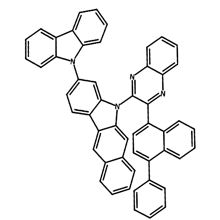 c1ccc(-c2ccc(-c3nc4ccccc4nc3-n3c4cc(-n5c6ccccc6c6ccccc65)ccc4c4cc5ccccc5cc43)c3ccccc23)cc1